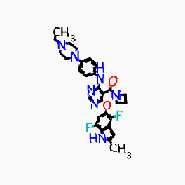 CCN1CCN(c2ccc(Nc3ncnc(Oc4cc(F)c5[nH]c(C)cc5c4F)c3C(=O)N3CCC3)cc2)CC1